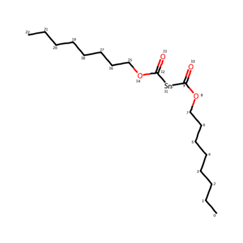 CCCCCCCCO[C](=O)[Sn][C](=O)OCCCCCCCC